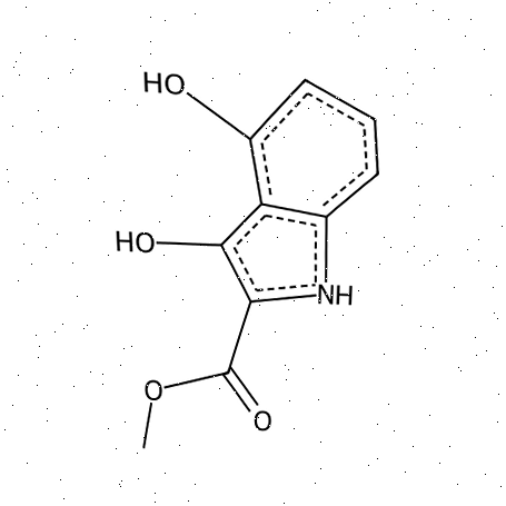 COC(=O)c1[nH]c2cccc(O)c2c1O